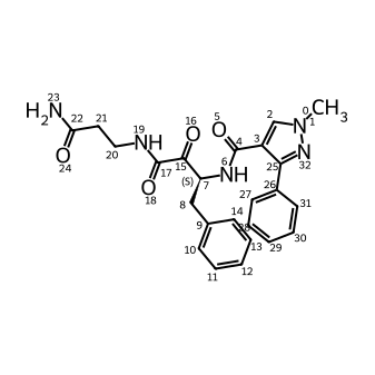 Cn1cc(C(=O)N[C@@H](Cc2ccccc2)C(=O)C(=O)NCCC(N)=O)c(-c2ccccc2)n1